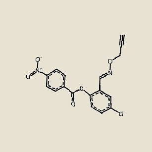 C#CCON=Cc1cc(Cl)ccc1OC(=O)c1ccc([N+](=O)[O-])cc1